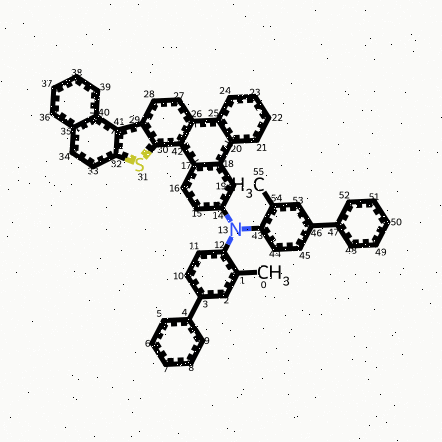 Cc1cc(-c2ccccc2)ccc1N(c1ccc2c(c1)c1ccccc1c1ccc3c(sc4ccc5ccccc5c43)c12)c1ccc(-c2ccccc2)cc1C